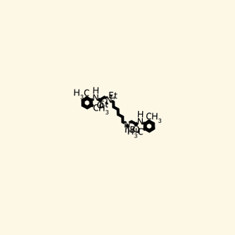 CCCCN(CCCCCC[N+](CC)(CC)CC(=O)Nc1c(C)cccc1C)CC(=O)Nc1c(C)cccc1C